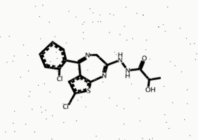 CC(O)C(=O)NNC1=Nc2sc(Cl)cc2C(c2ccccc2Cl)=NC1